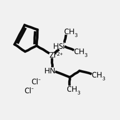 CCC(C)[NH][Zr+2]([C]1=CC=CC1)[SiH](C)C.[Cl-].[Cl-]